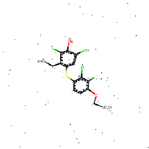 CCOC(=O)COc1ccc(Sc2cc(Cl)c(O)c(Cl)c2CNC(C)=O)c(Cl)c1Cl